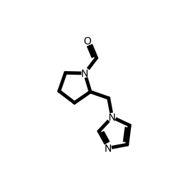 O=CN1CCCC1Cn1ccnc1